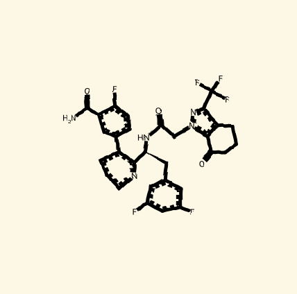 NC(=O)c1cc(-c2cccnc2[C@H](Cc2cc(F)cc(F)c2)NC(=O)Cn2nc(C(F)(F)F)c3c2C(=O)CCC3)ccc1F